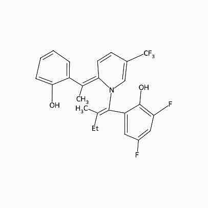 CC/C(C)=C(\c1cc(F)cc(F)c1O)N1C=C(C(F)(F)F)C=C/C1=C(/C)c1ccccc1O